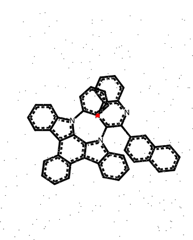 c1ccc(-n2c3ccccc3c3c4ccccc4c4c5ccccc5n(-c5nc6ccccc6nc5-c5ccc6ccccc6c5)c4c32)cc1